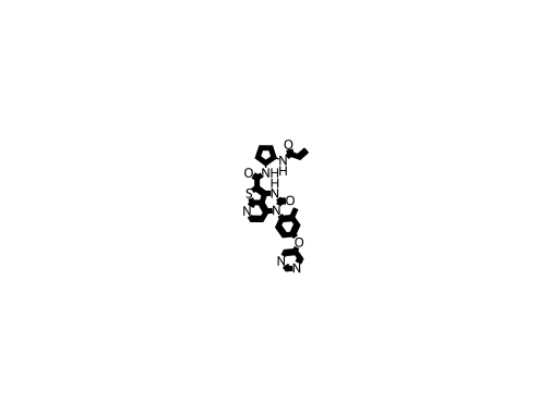 C=CC(=O)N[C@H]1CCC[C@H]1NC(=O)c1sc2nccc3c2c1NC(=O)N3c1ccc(Oc2cncnc2)cc1C